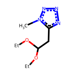 CCOC(Cc1nnnn1C)OCC